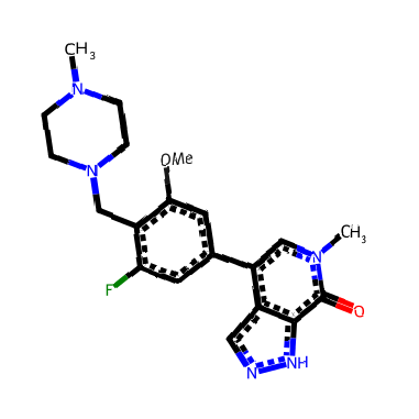 COc1cc(-c2cn(C)c(=O)c3[nH]ncc23)cc(F)c1CN1CCN(C)CC1